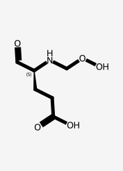 O=C[C@H](CCC(=O)O)NCOO